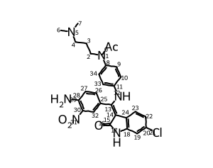 CC(=O)N(CCCN(C)C)c1ccc(N/C(=C2/C(=O)Nc3cc(Cl)ccc32)c2ccc(N)c([N+](=O)[O-])c2)cc1